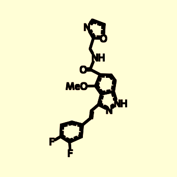 COc1c(C(=O)NCc2ncco2)ccc2[nH]nc(/C=C/c3ccc(F)c(F)c3)c12